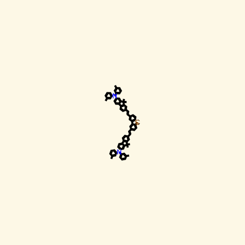 Cc1cccc(N(c2cccc(C)c2)c2ccc3c(c2)C(C)(C)c2cc(/C=C/c4ccc5c(c4)-c4cc(/C=C/c6ccc7c(c6)C(C)(C)c6cc(N(c8cccc(C)c8)c8cccc(C)c8)ccc6-7)ccc4S5(C)C)ccc2-3)c1